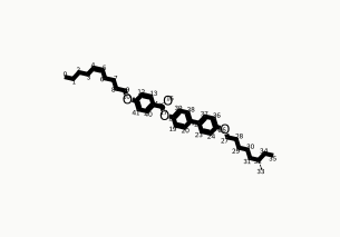 CCCC/C=C\CCCCOc1ccc(C(=O)Oc2ccc(-c3ccc(OCCCCC[C@@H](C)CC)cc3)cc2)cc1